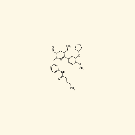 CCCCC(=O)Nc1cccc(CN2N=C(c3ccc(OC)c(OC4CCCC4)c3)C(CC)CC2C=O)c1